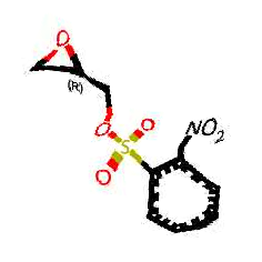 O=[N+]([O-])c1ccccc1S(=O)(=O)OC[C@H]1CO1